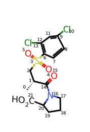 C[C@H](CS(=O)(=O)c1ccc(Cl)cc1Cl)C(=O)N1CCCC1C(=O)O